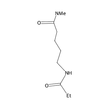 CCC(=O)NCCCCC(=O)NC